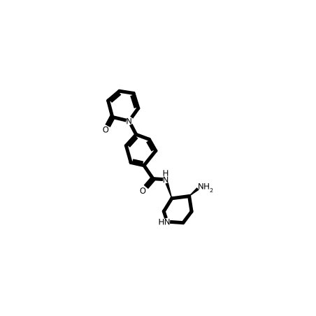 N[C@H]1CCNC[C@H]1NC(=O)c1ccc(-n2ccccc2=O)cc1